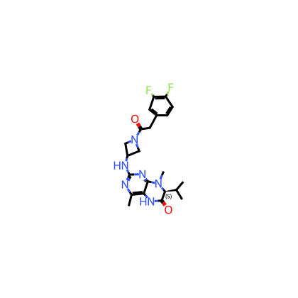 Cc1nc(NC2CN(C(=O)Cc3ccc(F)c(F)c3)C2)nc2c1NC(=O)[C@H](C(C)C)N2C